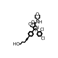 O=C(NN1CCOCC1)c1nn(-c2ccc(Cl)cc2Cl)c(-c2ccc(C#CCCCO)cc2)c1CO